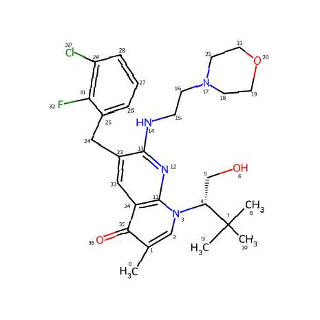 Cc1cn([C@H](CO)C(C)(C)C)c2nc(NCCN3CCOCC3)c(Cc3cccc(Cl)c3F)cc2c1=O